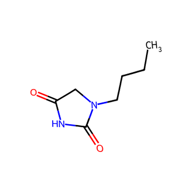 CCCCN1CC(=O)NC1=O